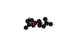 c1ccc(-c2ccc3c(c2)c2ccccc2n3-c2c(-c3cccc(-c4cccc5oc6c(-c7cccc(-c8nc(-c9ccccc9)nc(-c9ccccc9)n8)c7)cccc6c45)c3)ccc3oc4ccccc4c23)cc1